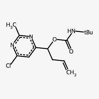 C=CCC(OC(=O)NC(C)(C)C)c1cc(Cl)nc(C)n1